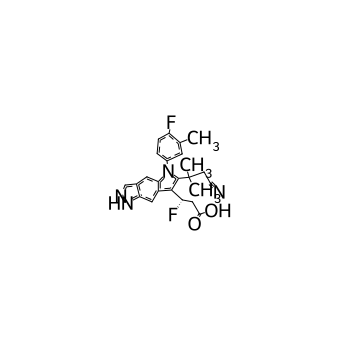 Cc1cc(-n2c(C(C)(C)CC#N)c([C@@H](F)CC(=O)O)c3cc4[nH]ncc4cc32)ccc1F